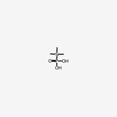 C[Si](C)(C)P(=O)(O)O